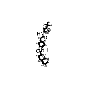 CC(C)(C)c1cc(NC(=O)Cc2ccc(NC(=O)c3ccc4cccnc4n3)cc2)no1